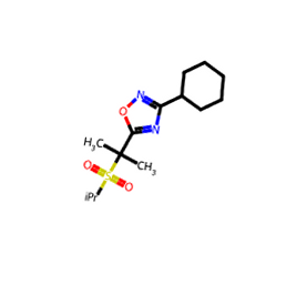 CC(C)S(=O)(=O)C(C)(C)c1nc(C2CCCCC2)no1